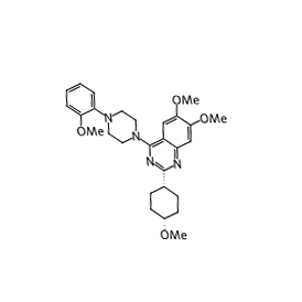 COc1cc2nc([C@H]3CC[C@@H](OC)CC3)nc(N3CCN(c4ccccc4OC)CC3)c2cc1OC